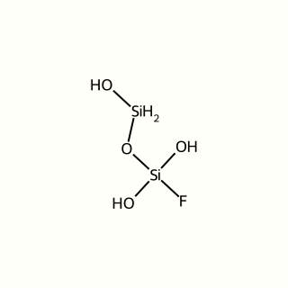 O[SiH2]O[Si](O)(O)F